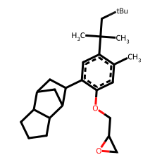 Cc1cc(OCC2CO2)c(C2CC3CC2C2CCCC32)cc1C(C)(C)CC(C)(C)C